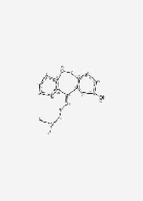 CN(C)CC/C=C1/c2cc(O)ccc2COc2ccccc21